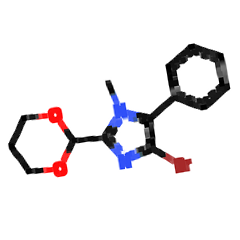 Cn1c(C2OCCCO2)nc(Br)c1-c1ccccc1